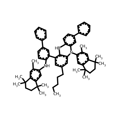 CCCCCc1cc(-c2cc(-c3ccccc3)ccc2Nc2cc3c(cc2C)C(C)(C)CCC3(C)C)c2c(c1)N(c1cc3c(cc1C)C(C)(C)CCC3(C)C)c1cc(-c3ccccc3)ccc1B2